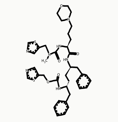 CN(Cc1cncs1)C(=O)N[C@@H](CCCN1CCOCC1)C(=O)N[C@H](CC[C@H](Cc1ccccc1)NC(=O)OCc1cncs1)Cc1ccccc1